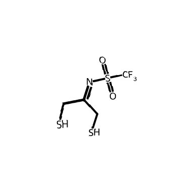 O=S(=O)(N=C(CS)CS)C(F)(F)F